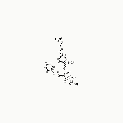 Cl.NCCCCc1ccc(OC[C@@H]2C[C@@H](CC(=O)O)C(=O)N2CCCc2ccccc2)cc1